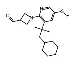 CC(C)(CC1CCCCC1)c1cc(SF)cnc1N1CC(C=O)C1